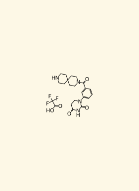 O=C(O)C(F)(F)F.O=C1CCN(c2cccc(C(=O)N3CCC4(CCNCC4)CC3)c2)C(=O)N1